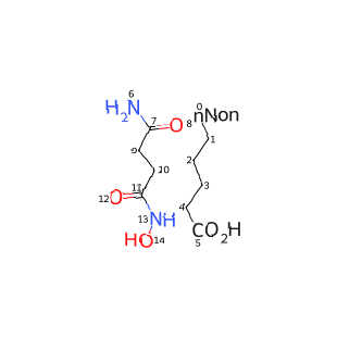 CCCCCCCCCCCCCC(=O)O.NC(=O)CCC(=O)NO